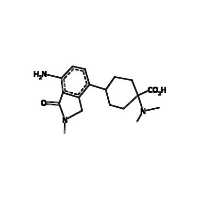 CN1Cc2c(C3CCC(C(=O)O)(N(C)C)CC3)ccc(N)c2C1=O